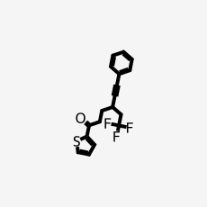 O=C(CCC(C#Cc1ccccc1)CC(F)(F)F)c1cccs1